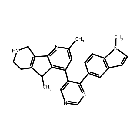 Cc1cc(-c2cncnc2-c2ccc3c(ccn3C)c2)c2c(n1)C1=C(CCNC1)C2C